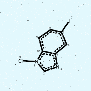 Cln1cnc2cc(I)ccc21